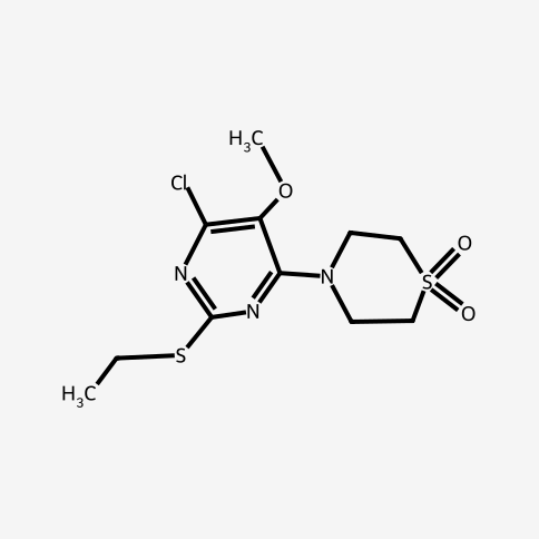 CCSc1nc(Cl)c(OC)c(N2CCS(=O)(=O)CC2)n1